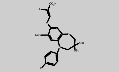 CCCCC1(CCCC)CSc2cc(O/C=C(\F)C(=O)O)c(SC)cc2N(c2ccc(F)cc2)C1